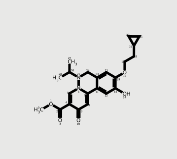 COC(=O)c1cn2c(cc1=O)-c1cc(O)c(OCCC3CC3)cc1CN2C(C)C